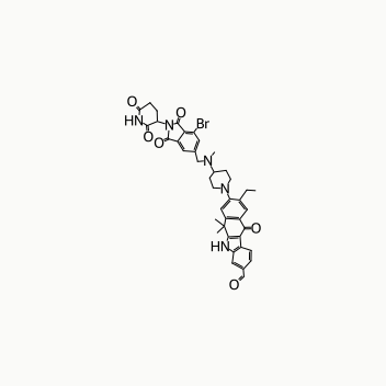 CCc1cc2c(cc1N1CCC(N(C)Cc3cc(Br)c4c(c3)C(=O)N(C3CCC(=O)NC3=O)C4=O)CC1)C(C)(C)c1[nH]c3cc(C=O)ccc3c1C2=O